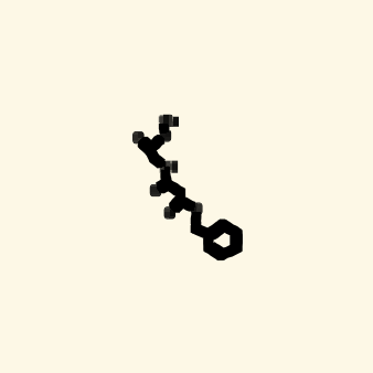 CC(C)(C)OC(=O)CNC(=O)CC(=O)OCc1ccccc1